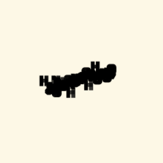 CCCN(CCC)C(=O)C1=Cc2ccc(C(=O)Nc3ccc(N4CCC(C(=O)NCCNC(=O)C5CCC(CN6C(=O)C=CC6=O)CC5)CC4)nc3)cc2N=C(N)C1